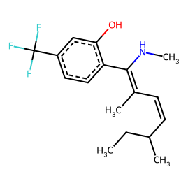 CCC(C)/C=C\C(C)=C(/NC)c1ccc(C(F)(F)F)cc1O